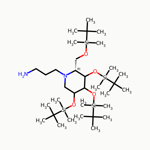 CC(C)(C)[Si](C)(C)OC[C@@H]1C(O[Si](C)(C)C(C)(C)C)C(O[Si](C)(C)C(C)(C)C)C(O[Si](C)(C)C(C)(C)C)CN1CCCN